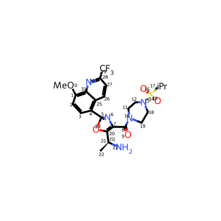 COc1ccc(-c2nc(C(=O)N3CCN(S(=O)(=O)C(C)C)CC3)c([C@H](C)N)o2)c2ccc(C(F)(F)F)nc12